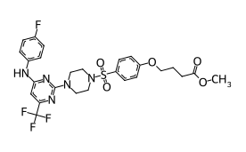 COC(=O)CCCOc1ccc(S(=O)(=O)N2CCN(c3nc(Nc4ccc(F)cc4)cc(C(F)(F)F)n3)CC2)cc1